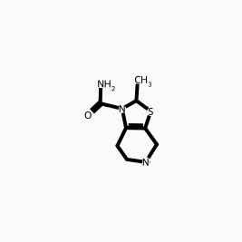 CC1SC2=C(CC[N]C2)N1C(N)=O